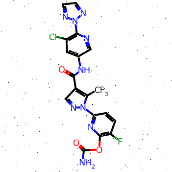 NC(=O)Oc1nc(-n2ncc(C(=O)Nc3cnc(-n4nccn4)c(Cl)c3)c2C(F)(F)F)ccc1F